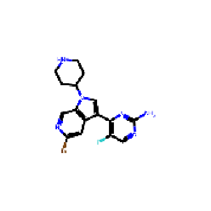 Nc1ncc(F)c(-c2cn(C3CCNCC3)c3cnc(Br)cc23)n1